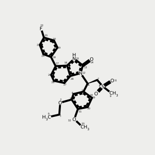 CCOc1cc([C@H](CS(C)(=O)=O)n2c(=O)[nH]c3c(-c4ccc(F)cc4)cccc32)ccc1OC